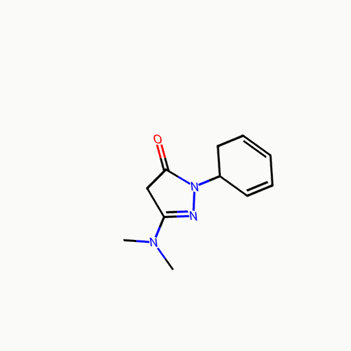 CN(C)C1=NN(C2C=CC=CC2)C(=O)C1